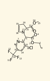 CCOC(=O)C(c1ncc(C(F)(F)F)cc1Cl)N1C=CCC1C(=O)OC